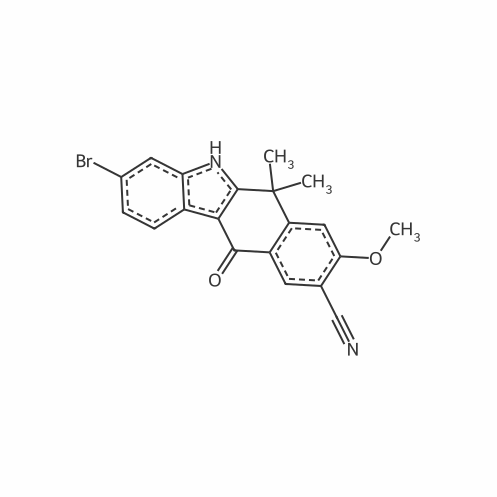 COc1cc2c(cc1C#N)C(=O)c1c([nH]c3cc(Br)ccc13)C2(C)C